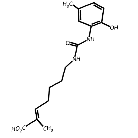 CC(=CCCCCNC(=O)Nc1cc(C)ccc1O)C(=O)O